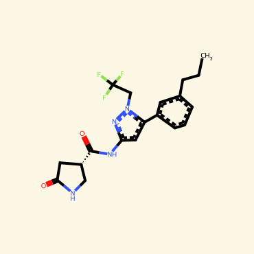 CCCc1cccc(-c2cc(NC(=O)[C@@H]3CNC(=O)C3)nn2CC(F)(F)F)c1